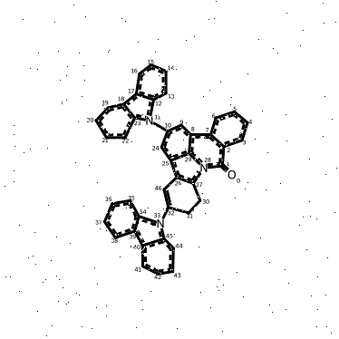 O=c1c2ccccc2c2cc(-n3c4ccccc4c4ccccc43)cc3c4c(n1c32)CCC(n1c2ccccc2c2ccccc21)=C4